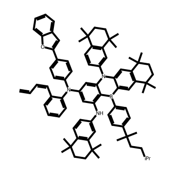 C=C/C=C\c1ccccc1N(c1ccc(-c2cc3ccccc3o2)cc1)c1cc(Nc2ccc3c(c2)C(C)(C)CCC3(C)C)c2c(c1)N(c1ccc3c(c1)C(C)(C)CCC3(C)C)c1cc3c(cc1B2c1ccc(C(C)(C)CCC(C)C)cc1)C(C)(C)CCC3(C)C